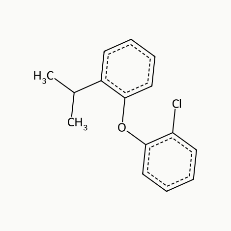 CC(C)c1ccccc1Oc1ccccc1Cl